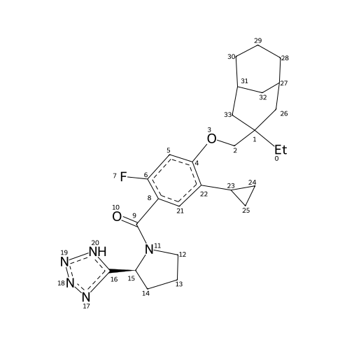 CCC1(COc2cc(F)c(C(=O)N3CCC[C@H]3c3nnn[nH]3)cc2C2CC2)CC2CCCC(C2)C1